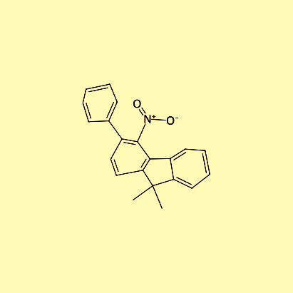 CC1(C)c2ccccc2-c2c1ccc(-c1ccccc1)c2[N+](=O)[O-]